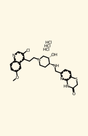 COc1ccc2ncc(Cl)c(CCN3CC[C@H](NCc4ccc5c(n4)NC(=O)CS5)[C@@H](O)C3)c2c1.Cl.Cl.Cl